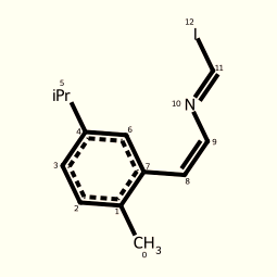 Cc1ccc(C(C)C)cc1/C=C\N=C\I